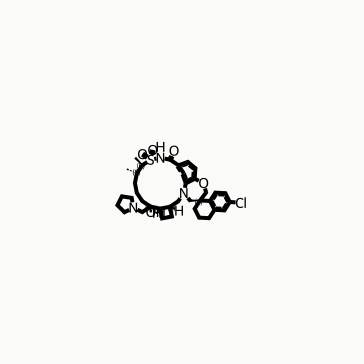 C[C@@H]1[C@@H](C)CCC[C@@](O)(CN2CCCC2)[C@@H]2CC[C@H]2CN2C[C@@]3(CCCc4cc(Cl)ccc43)COc3ccc(cc32)C(=O)NS1(=O)=O